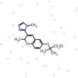 CCOC(=O)C(C)(C)Oc1ccc2c(c1)C=C(c1nccn1C)C(C)O2